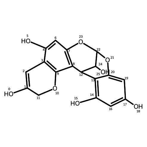 OC1=Cc2c(O)cc3c(c2OC1)C1c2c(O)cc(O)cc2OC(O3)C1O